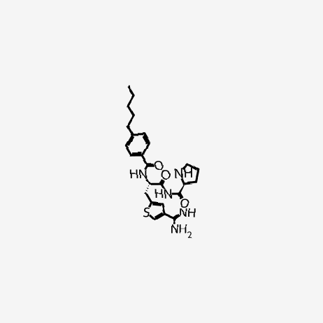 CCCCCc1ccc(C(=O)N[C@@H](Cc2cc(C(=N)N)cs2)C(=O)NC(=O)[C@@H]2CCCN2)cc1